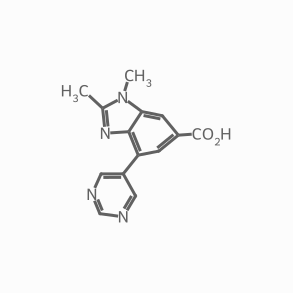 Cc1nc2c(-c3cncnc3)cc(C(=O)O)cc2n1C